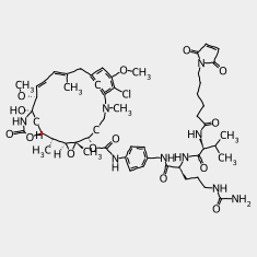 COc1cc2cc(c1Cl)N(C)CC[C@H](OC(=O)Nc1ccc(NC(=O)[C@H](CCCNC(N)=O)NC(=O)[C@@H](NC(=O)CCCCCN3C(=O)C=CC3=O)C(C)C)cc1)[C@]1(C)O[C@H]1[C@H](C)[C@@H]1C[C@@](O)(NC(=O)O1)[C@H](OC)/C=C/C=C(\C)C2